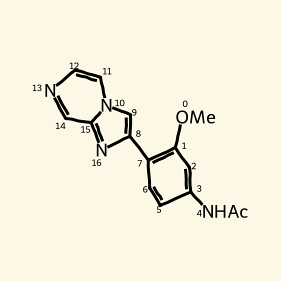 COc1cc(NC(C)=O)ccc1-c1cn2ccncc2n1